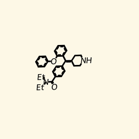 CCN(CC)C(=O)c1ccc(C(=C2CCNCC2)c2ccccc2Oc2ccccc2)cc1